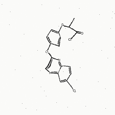 CC(Oc1ccc(Oc2cnc3cc(Cl)ccc3n2)cc1)C(=O)Cl